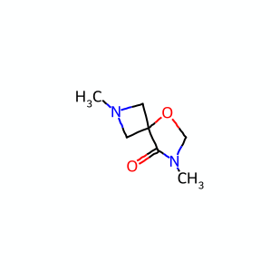 CN1CC2(C1)OCN(C)C2=O